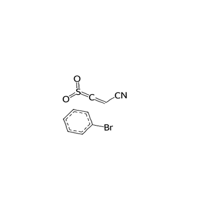 Brc1ccccc1.N#CC=C=S(=O)=O